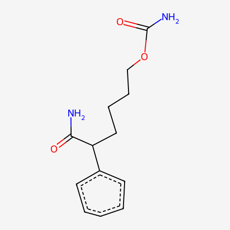 NC(=O)OCCCCC(C(N)=O)c1ccccc1